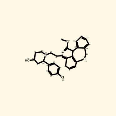 COC(=O)C1C2=C(C=CCC2=CCCN2CCC(O)CC2c2ccc(Cl)cc2)OCc2ccccc21